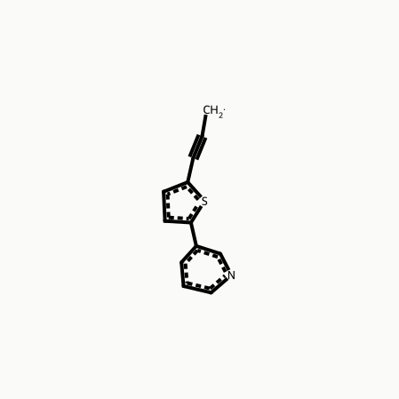 [CH2]C#Cc1ccc(-c2cccnc2)s1